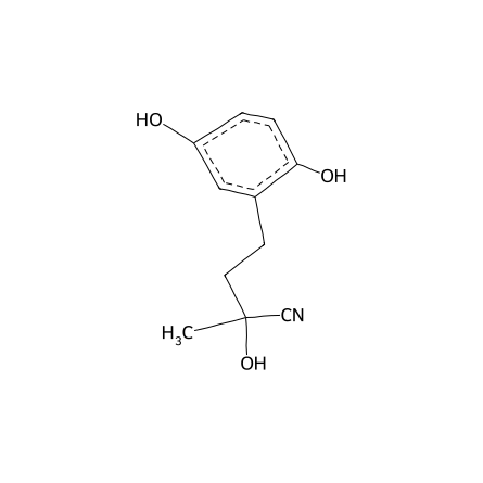 CC(O)(C#N)CCc1cc(O)ccc1O